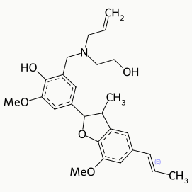 C=CCN(CCO)Cc1cc(C2Oc3c(OC)cc(/C=C/C)cc3C2C)cc(OC)c1O